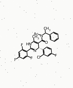 CC(=O)N(C(=O)C1=C(C)NC(c2c(F)cc(F)cc2F)=N[C@H]1c1ccc(F)cc1Cl)C(C)c1ccccc1